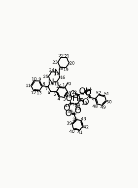 Cc1cccc(CC(c2ccccc2)N2CCN(C3CCCCC3)CC2)c1.O=C(O[C@H](C(=O)O)[C@H](OC(=O)c1ccccc1)C(=O)O)c1ccccc1